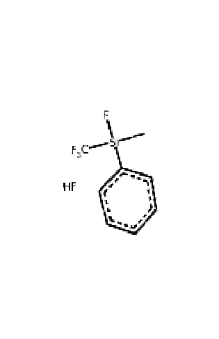 C[Si](F)(c1ccccc1)C(F)(F)F.F